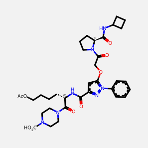 CC(=O)OCCCC[C@H](NC(=O)c1cc(OCC(=O)N2CCC[C@H]2C(=O)NC2CCC2)n(-c2ccccc2)n1)C(=O)N1CCN(C(=O)O)CC1